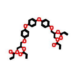 C=CC(=O)OCC(COc1ccc(Oc2ccc(Oc3ccc(OCC(COC(=O)C=C)OC(=O)C=C)cc3)cc2)cc1)OC(=O)C=C